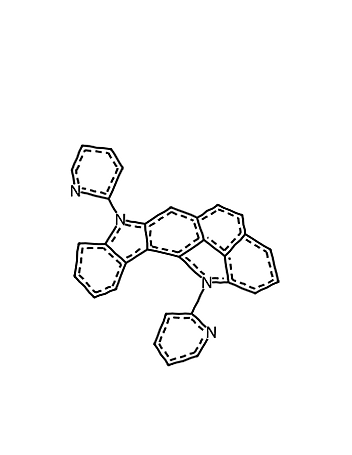 c1ccc(-n2c3ccccc3c3c2cc2ccc4cccc5c4c2c3n5-c2ccccn2)nc1